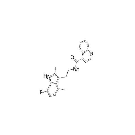 Cc1[nH]c2c(F)ccc(C)c2c1CCNC(=O)c1ccnc2ccccc12